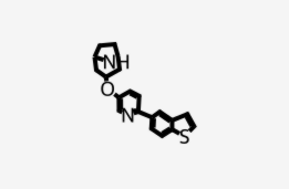 c1cc2cc(-c3ccc(OC4CC5CCC(C4)N5)cn3)ccc2s1